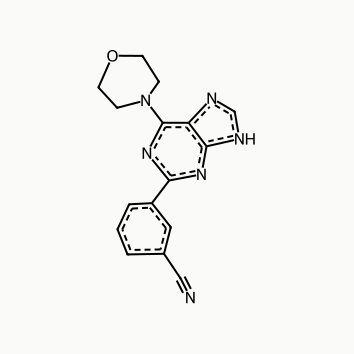 N#Cc1cccc(-c2nc(N3CCOCC3)c3nc[nH]c3n2)c1